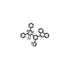 C1=CC(c2cc(-c3cc4ccccc4c4ccccc34)cc(C3N=C(c4ccccc4)N=C(c4ccccc4)N3)c2)=NC1